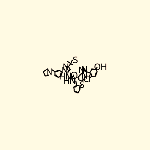 CSCC(C)(C)c1cc(NC(=O)NCc2ccccc2Sc2ccc3nnc(-c4cc(O)ccc4Cl)n3c2)n(-c2cccc(CN3CCCC3)c2)n1